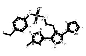 CCc1ccc(NS(=O)(=O)NCCc2c(-c3cccs3)n[nH]c2-c2cc(C)on2)cc1